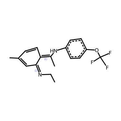 CC/N=C1/C=C(C)C=C/C1=C(/C)Nc1ccc(OC(F)(F)F)cc1